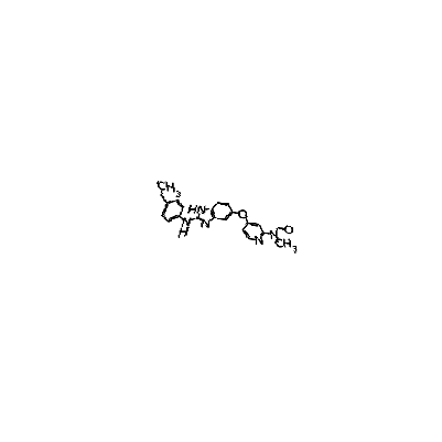 CCc1ccc(Nc2nc3cc(Oc4ccnc(N(C)C=O)c4)ccc3[nH]2)cc1